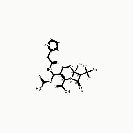 CC(=O)OC(NC(=O)Cc1cccs1)C1=C(C(=O)O)N2C(=O)[C@H](C(F)(F)F)[C@H]2SC1